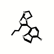 CCCC1=C(c2ccc(F)c3ccsc23)N2CCN=C2S1